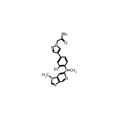 CCc1cc(-c2cnn(CC(=O)C(C)(C)C)c2)ccc1N(C)c1cc2c(cn1)ncn2C